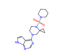 O=S(=O)(N1CCCCC1)N1CCN(c2ncnc3[nH]ccc23)CC12CC2